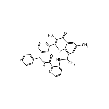 Cc1cc([C@@H](C)Nc2cccnc2C(=O)NCc2ccncc2)c2oc(-c3ccccc3)c(C)c(=O)c2c1